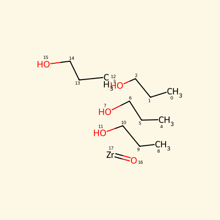 CCCO.CCCO.CCCO.CCCO.[O]=[Zr]